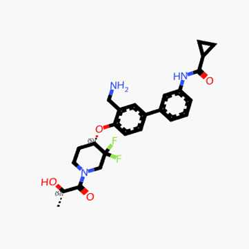 C[C@H](O)C(=O)N1CC[C@H](Oc2ccc(-c3cccc(NC(=O)C4CC4)c3)cc2CN)C(F)(F)C1